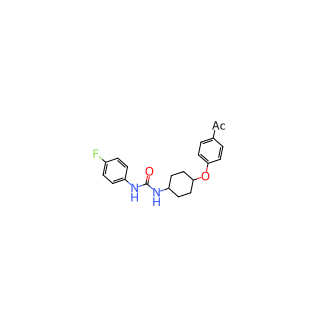 CC(=O)c1ccc(OC2CCC(NC(=O)Nc3ccc(F)cc3)CC2)cc1